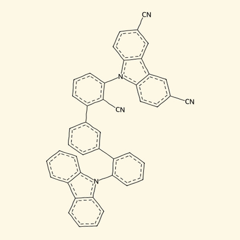 N#Cc1ccc2c(c1)c1cc(C#N)ccc1n2-c1cccc(-c2cccc(-c3ccccc3-n3c4ccccc4c4ccccc43)c2)c1C#N